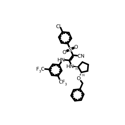 N#CC(=C(Nc1cc(C(F)(F)F)cc(C(F)(F)F)c1)N[C@H]1CCC[C@@H]1OCc1ccccc1)S(=O)(=O)c1ccc(Cl)cc1